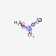 Cc1ccc(CNc2nc(OCC(F)(F)F)nc(N3CCC(COc4ccccn4)CC3)n2)o1